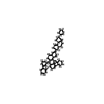 c1ccc(-c2ccc3c(ccc4cc(-c5ccc6cc(N(c7cccc8c7oc7ccccc78)c7cccc8c7oc7ccccc78)ccc6c5)ccc43)c2)cc1